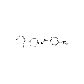 Cc1ccccc1N1CCN(/N=N/c2ccc([N+](=O)[O-])cc2)CC1